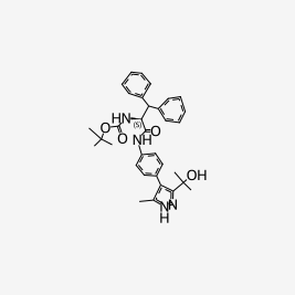 Cc1[nH]nc(C(C)(C)O)c1-c1ccc(NC(=O)[C@@H](NC(=O)OC(C)(C)C)C(c2ccccc2)c2ccccc2)cc1